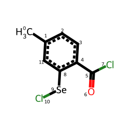 Cc1ccc(C(=O)Cl)c([Se]Cl)c1